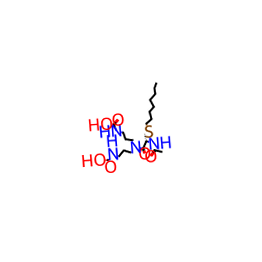 CCCCCCCCSC[C@H](NC(C)=O)C(=O)N(CCCNC(=O)O)CCCNC(=O)O